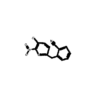 N#Cc1ccccc1Cc1ccc(Cl)c([N+](=O)[O-])n1